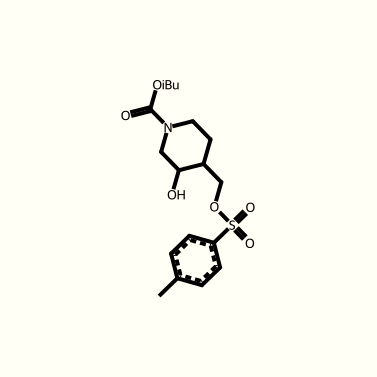 Cc1ccc(S(=O)(=O)OCC2CCN(C(=O)OCC(C)C)CC2O)cc1